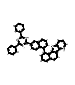 c1ccc(-c2nc(-c3ccccc3)nc(-c3ccc4c(-c5cccc6ccc7c8ncccc8oc7c56)cccc4c3)n2)cc1